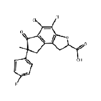 CC1(c2ccc(F)cc2)Cc2c3c(c(Cl)c(Cl)c2C1=O)OC(C(=O)O)C3